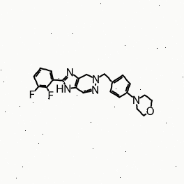 Fc1cccc(-c2nc3c([nH]2)C=NN(Cc2ccc(N4CCOCC4)cc2)C3)c1F